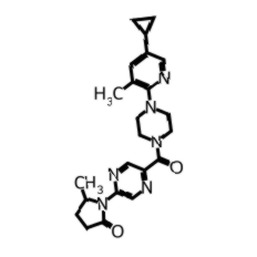 Cc1cc(C2CC2)cnc1N1CCN(C(=O)c2cnc(N3C(=O)CCC3C)cn2)CC1